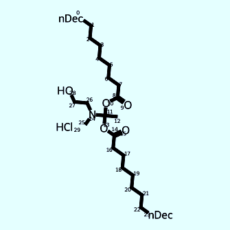 CCCCCCCCCCCCCCCCCC(=O)OC(C)(OC(=O)CCCCCCCCCCCCCCCCC)N(C)CCO.Cl